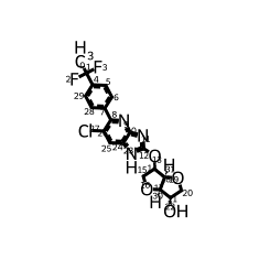 CC(F)(F)c1ccc(-c2nc3nc(O[C@@H]4CO[C@H]5[C@@H]4OC[C@H]5O)[nH]c3cc2Cl)cc1